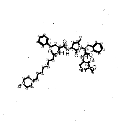 CC(C)CC(NC(=O)[C@H](Cc1ccccc1)N1C(=O)C(NC(=O)[C@H](CCc2ccccc2)NC(=O)CCCCCCCN2CCN(C)CC2)CC1C)C(=O)C1(C)CO1